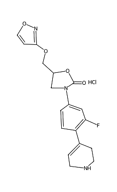 Cl.O=C1OC(COc2ccon2)CN1c1ccc(C2=CCNCC2)c(F)c1